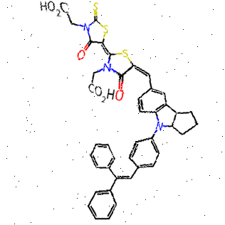 O=C(O)CN1C(=O)/C(=c2/s/c(=C/c3ccc4c(c3)C3CCCC3N4c3ccc(C=C(c4ccccc4)c4ccccc4)cc3)c(=O)n2CC(=O)O)SC1=S